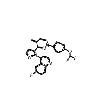 C=C1C=CN(c2ccc(OC(F)F)cc2)N=C1c1ccnn1-c1ccnc2ccc(F)cc12